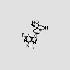 C#C[C@]1(C(C)O)O[C@@H](n2cnc3c(N)nc(F)nc32)C[C@@H]1O